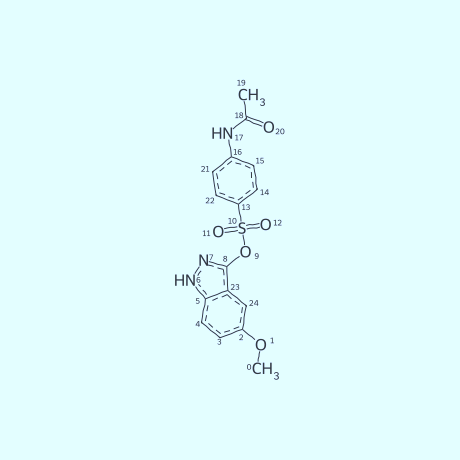 COc1ccc2[nH]nc(OS(=O)(=O)c3ccc(NC(C)=O)cc3)c2c1